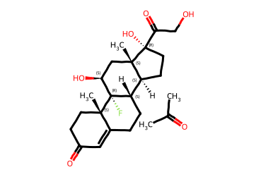 CC(C)=O.C[C@]12CCC(=O)C=C1CC[C@H]1[C@@H]3CC[C@](O)(C(=O)CO)[C@@]3(C)C[C@H](O)[C@@]12F